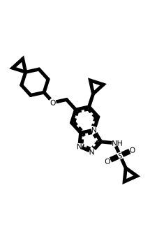 O=S(=O)(Nc1nnc2cc(COC3CCC4(CC3)CC4)c(C3CC3)cn12)C1CC1